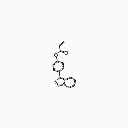 C=CC(=O)Oc1ccc(-c2scc3ccccc23)cc1